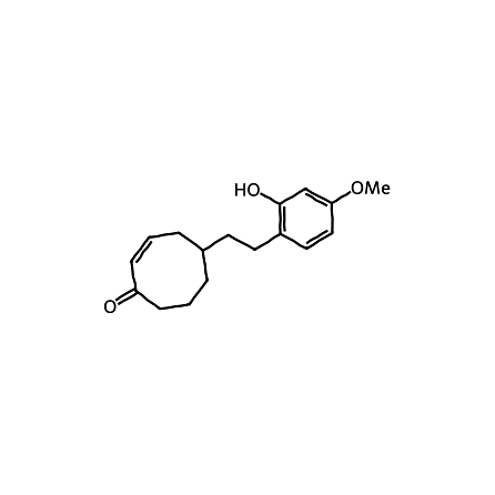 COc1ccc(CCC2C/C=C\C(=O)CCC2)c(O)c1